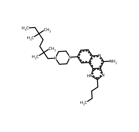 CCCCc1nc2c(N)nc3ccc(N4CCN(CC(C)(C)CCC(C)(C)CC)CC4)cc3c2[nH]1